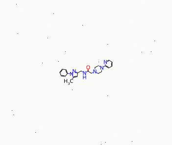 Cc1cc(CNC(=O)CN2CCN(c3ccccn3)CC2)nn1-c1ccccc1